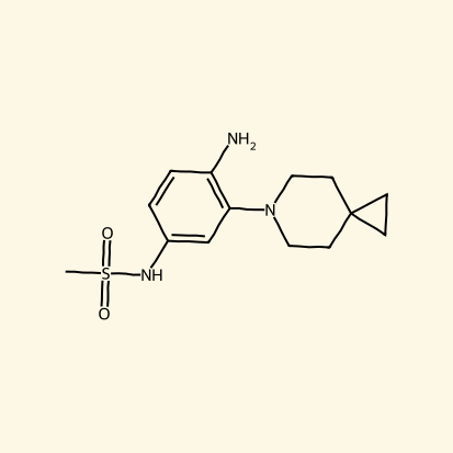 CS(=O)(=O)Nc1ccc(N)c(N2CCC3(CC2)CC3)c1